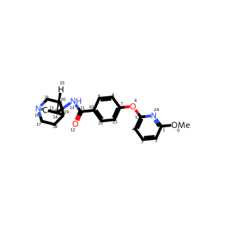 COc1cccc(Oc2ccc(C(=O)N[C@H]3CN4CCC3CC4)cc2)n1